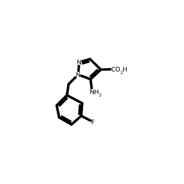 Nc1c(C(=O)O)cnn1Cc1cccc(F)c1